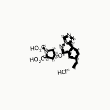 C=Cc1ccc2c(c1)c(O[C@@H]1C[C@@H](C(=O)O)N(C(=O)O)C1)nn1cnnc21.Cl